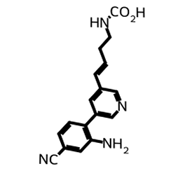 N#Cc1ccc(-c2cncc(C=CCCNC(=O)O)c2)c(N)c1